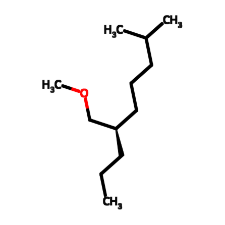 CCC[C@H](CCCC(C)C)COC